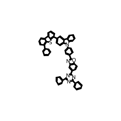 c1ccc(-c2nc(-c3ccccc3)nc(-c3ccc4oc(-c5ccc(-n6c7ccccc7c7cc(-c8cccc9c8sc8c(-c%10ccccc%10)cccc89)ccc76)cc5)nc4c3)n2)cc1